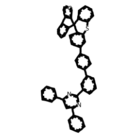 c1ccc(-c2cc(-c3ccccc3)nc(-c3cccc(-c4ccc(-c5ccc6c(c5)Sc5ccccc5C65c6ccccc6-c6ccccc65)cc4)c3)n2)cc1